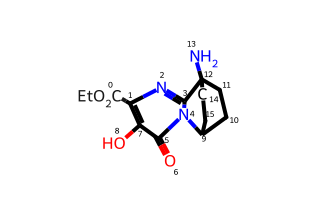 CCOC(=O)c1nc2n(c(=O)c1O)C1CCC2(N)CC1